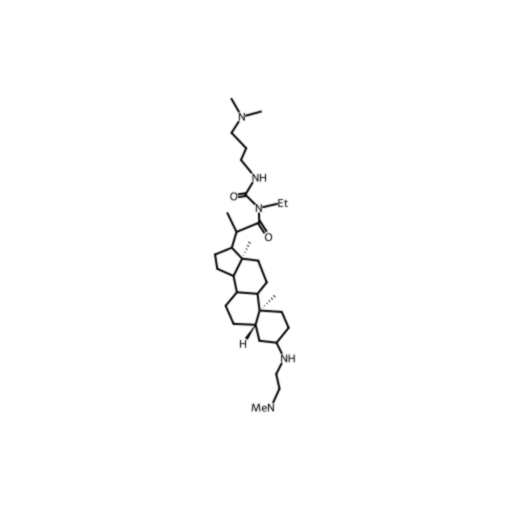 CCN(C(=O)NCCCN(C)C)C(=O)C(C)C1CCC2C3CC[C@H]4CC(NCCNC)CC[C@]4(C)C3CC[C@]12C